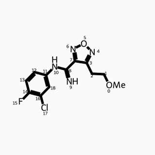 COCCc1nonc1C(=N)Nc1ccc(F)c(Cl)c1